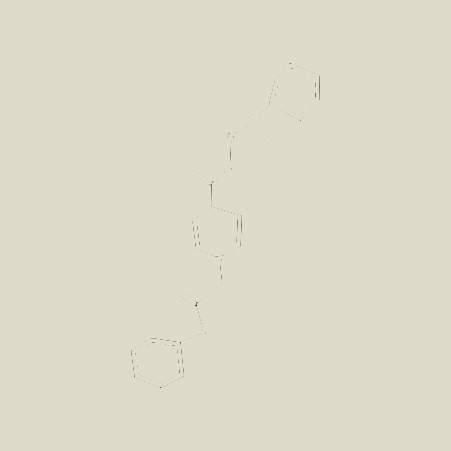 O=C(CN1C=CC(C(=O)NNS(=O)(=O)c2ccccc2)C=C1)Nc1ccccc1